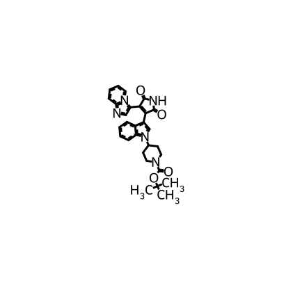 CC(C)(C)OC(=O)N1CCC(n2cc(C3=C(c4cnc5ccccn45)C(=O)NC3=O)c3ccccc32)CC1